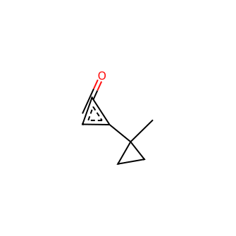 CC1(c2cc2=O)CC1